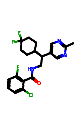 Cc1ncc(C(CNC(=O)c2c(F)cccc2Cl)C2CCC(F)(F)CC2)cn1